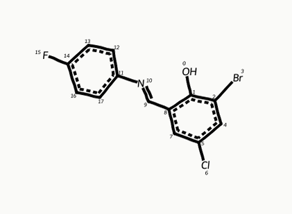 Oc1c(Br)cc(Cl)cc1/C=N/c1ccc(F)cc1